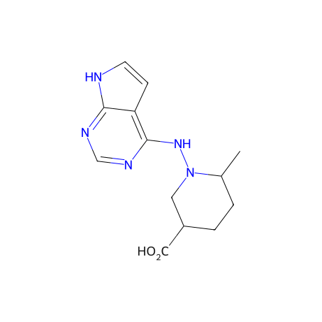 CC1CCC(C(=O)O)CN1Nc1ncnc2[nH]ccc12